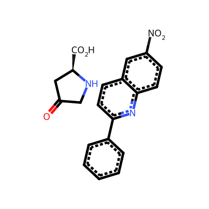 O=C1CN[C@H](C(=O)O)C1.O=[N+]([O-])c1ccc2nc(-c3ccccc3)ccc2c1